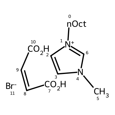 CCCCCCCC[n+]1ccn(C)c1.O=C(O)/C=C\C(=O)O.[Br-]